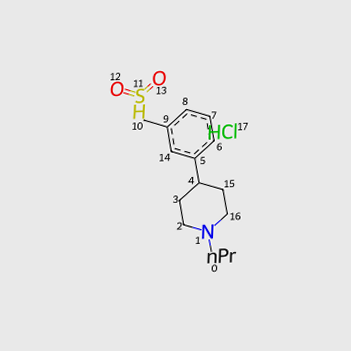 CCCN1CCC(c2cccc(C[SH](=O)=O)c2)CC1.Cl